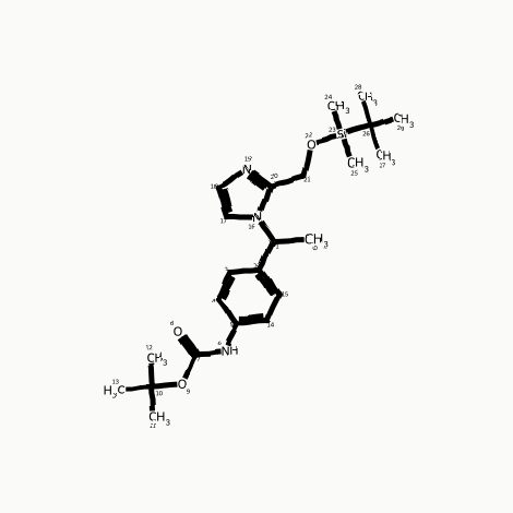 CC(c1ccc(NC(=O)OC(C)(C)C)cc1)n1ccnc1CO[Si](C)(C)C(C)(C)C